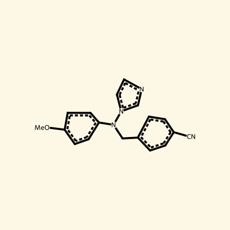 COc1ccc(N(Cc2ccc(C#N)cc2)n2ccnc2)cc1